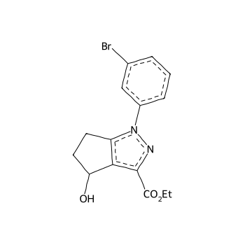 CCOC(=O)c1nn(-c2cccc(Br)c2)c2c1C(O)CC2